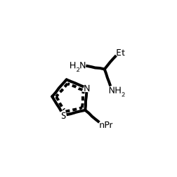 CCC(N)N.CCCc1nccs1